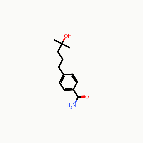 CC(C)(O)CC[CH]c1ccc(C(N)=O)cc1